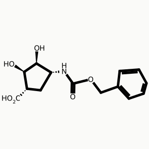 O=C(N[C@@H]1C[C@H](C(=O)O)[C@@H](O)[C@H]1O)OCc1ccccc1